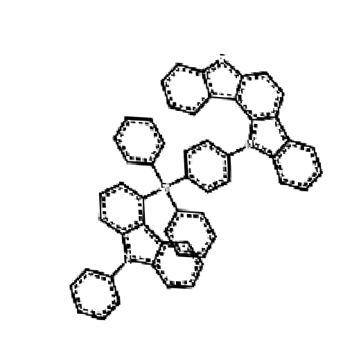 c1ccc(-n2c3ccccc3c3c([Si](c4ccccc4)(c4ccccc4)c4ccc(-n5c6ccccc6c6ccc7sc8ccccc8c7c65)cc4)cccc32)cc1